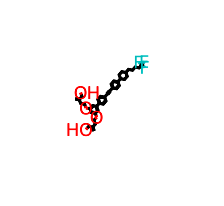 C=C(CO)CCOc1cc(OCCC(=C)CO)cc(-c2ccc(C#Cc3ccc(C4CCC(CCCCC(F)(F)F)CC4)cc3)cc2)c1